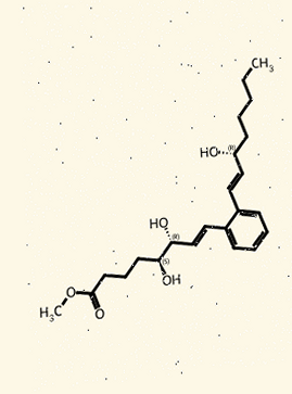 CCCCC[C@@H](O)C=Cc1ccccc1C=C[C@@H](O)[C@@H](O)CCCC(=O)OC